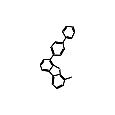 Ic1cccc2c1sc1c(-c3ccc(-c4ccccc4)cc3)cccc12